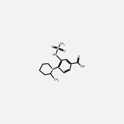 CC1CCCCN1c1ccc(C(=O)O)cc1NS(C)(=O)=O